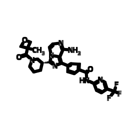 CC1(C(=O)N2CCC[C@@H](c3nc(-c4ccc(C(=O)Nc5ccc(C(F)(F)F)cn5)cc4)c4c(N)nccn34)C2)COC1